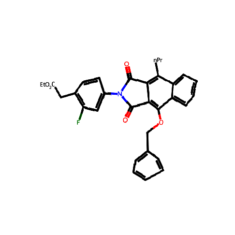 CCCc1c2c(c(OCc3ccccc3)c3ccccc13)C(=O)N(c1ccc(CC(=O)OCC)c(F)c1)C2=O